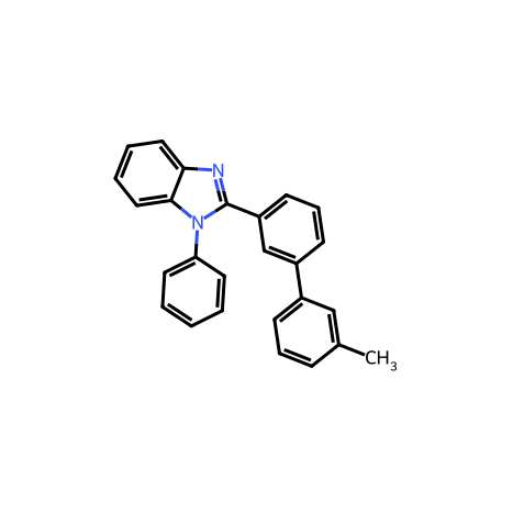 Cc1cccc(-c2cccc(-c3nc4ccccc4n3-c3ccccc3)c2)c1